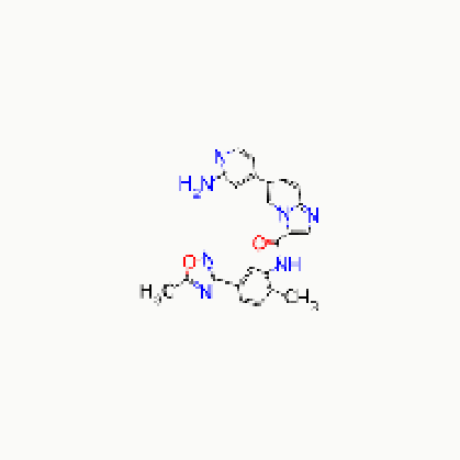 Cc1nc(-c2ccc(C)c(NC(=O)c3cnc4ccc(-c5ccnc(N)c5)cn34)c2)no1